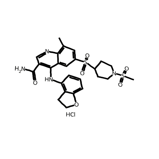 Cc1cc(S(=O)(=O)C2CCN(S(C)(=O)=O)CC2)cc2c(Nc3cccc4c3CCO4)c(C(N)=O)cnc12.Cl